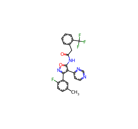 Cc1ccc(F)c(-c2noc(NC(=O)Cc3ccccc3C(F)(F)F)c2-c2ccncn2)c1